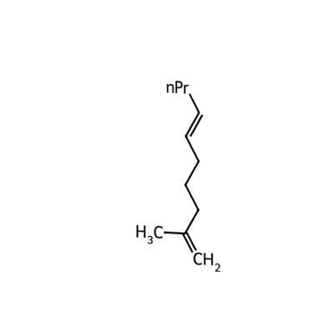 C=C(C)CCCC=CCCC